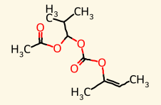 C/C=C(/C)OC(=O)OC(OC(C)=O)C(C)C